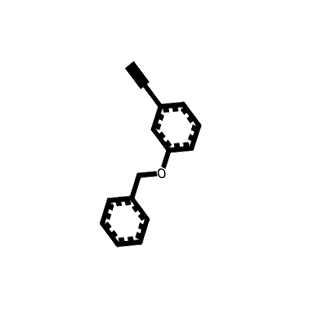 C#Cc1cccc(OCc2ccccc2)c1